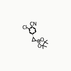 CC1(C)OB(C2C[C@@H]2c2ccc(C#N)c(Cl)c2)OC1(C)C